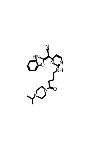 CC(C)N1CCN(C(=O)CCCNc2nccc(/C(C#N)=C3/Nc4ccccc4O3)n2)CC1